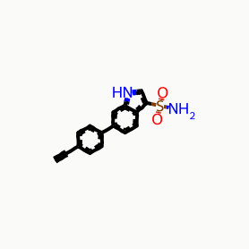 C#Cc1ccc(-c2ccc3c(S(N)(=O)=O)c[nH]c3c2)cc1